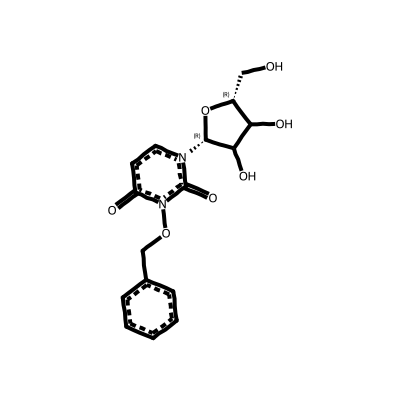 O=c1ccn([C@@H]2O[C@H](CO)C(O)C2O)c(=O)n1OCc1ccccc1